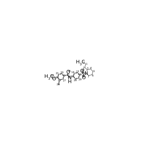 CCCC1CCCCN1S(=O)(=O)c1ccc(NC(=O)c2ccc(OC)c(I)c2)cc1